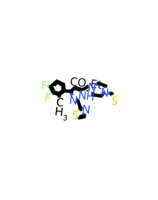 CCOC(=O)C1=C(CN2CCN(C=S)CC2)NC(c2nccs2)=NC1c1ccc(F)c(F)c1C